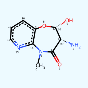 CN1C(=O)[C@@H](N)[C@@H](O)Oc2cccnc21